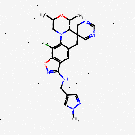 CC1CN2c3c(cc4c(NCc5cnn(C)c5)noc4c3F)CC3(C=NC=NC3)C2C(C)O1